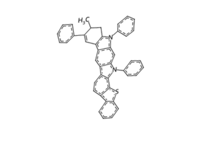 CC1Cc2c(c3cc4c5ccc6c7ccccc7sc6c5n(-c5ccccc5)c4cc3n2-c2ccccc2)C=C1c1ccccc1